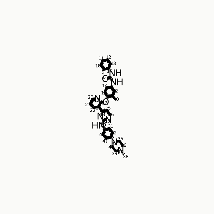 Cc1cc(NC(=O)Nc2ccccc2)ccc1Oc1ncccc1-c1ccnc(Nc2ccc(N3CCN(C)CC3)cc2)n1